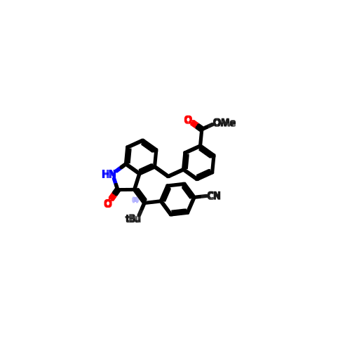 COC(=O)c1cccc(Cc2cccc3c2/C(=C(\c2ccc(C#N)cc2)C(C)(C)C)C(=O)N3)c1